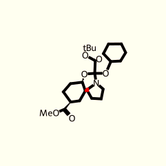 COC(=O)[C@H]1CC[C@H](OC(OC2CCCCC2)(C(=O)OC(C)(C)C)N2CCCC2)CC1